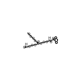 CCOCCOCCOCCOCCC(=O)N(CCOCCOCCOCCNC=O)CCOCCOCCOCCNC(=O)CCC(=O)N1Cc2ccccc2C#Cc2ccccc21